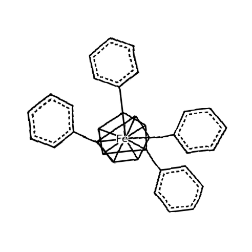 c1ccc([C]23[CH]4[CH]5[C]6(c7ccccc7)[CH]2[Fe]45362789[CH]3[CH]2[C]7(c2ccccc2)[CH]8[C]39c2ccccc2)cc1